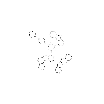 c1ccc(-c2ccc(C3=NC(c4cc(-n5c6ccccc6c6cc7ccccc7cc65)cc5c4oc4ccc6ccccc6c45)=NC(c4cccc5oc6ccccc6c45)N3)cc2)cc1